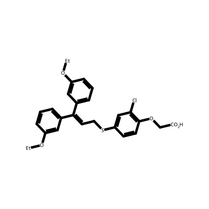 CCOc1cccc(C(=CCSc2ccc(OCC(=O)O)c(Cl)c2)c2cccc(OCC)c2)c1